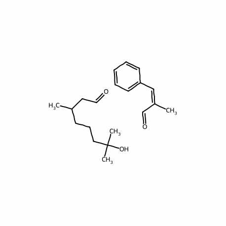 CC(C=O)=Cc1ccccc1.CC(CC=O)CCCC(C)(C)O